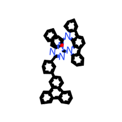 c1ccc(-c2nc(-c3cccc(-c4ccc5c6ccccc6c6ccccc6c5c4)c3)nc(-n3c4ccccc4c4ccc5c6ccccc6n(-c6ccccc6)c5c43)n2)cc1